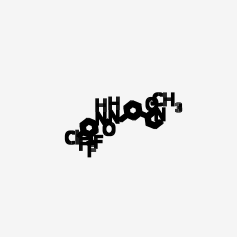 COc1ncccc1-c1cccc(CNC(=O)Nc2ccc(Cl)c(C(F)(F)F)c2)c1